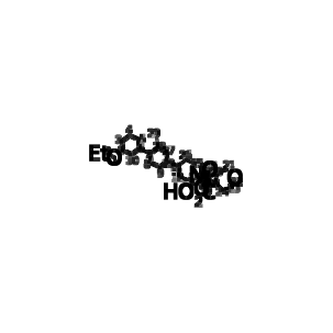 CCOc1cccc(-c2ccc(C3=CCN(S(=O)(=O)C4(C(=O)O)CCOCC4)CC3)cc2C)c1